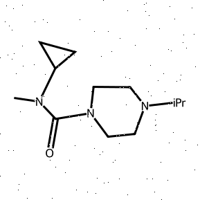 CC(C)N1CCN(C(=O)N(C)C2CC2)CC1